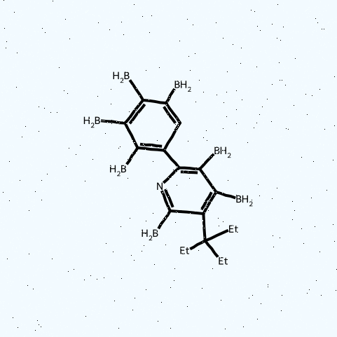 Bc1cc(-c2nc(B)c(C(CC)(CC)CC)c(B)c2B)c(B)c(B)c1B